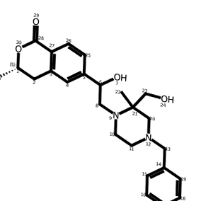 C[C@H]1Cc2cc(C(O)CN3CCN(Cc4ccccc4)CC3(C)CO)ccc2C(=O)O1